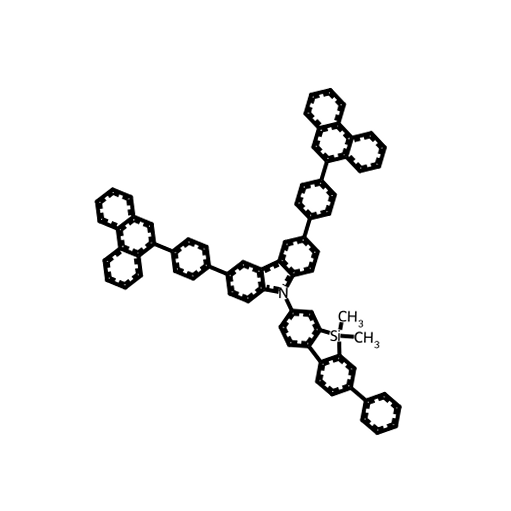 C[Si]1(C)c2cc(-c3ccccc3)ccc2-c2ccc(-n3c4ccc(-c5ccc(-c6cc7ccccc7c7ccccc67)cc5)cc4c4cc(-c5ccc(-c6cc7ccccc7c7ccccc67)cc5)ccc43)cc21